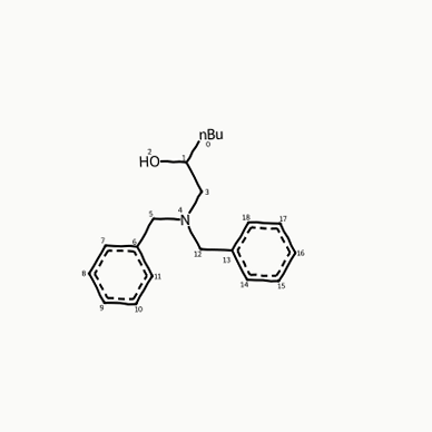 CCCCC(O)CN(Cc1ccccc1)Cc1ccccc1